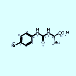 CC[C@H](C)[C@@H](NC(=O)Nc1ccc(Br)cc1)C(=O)O